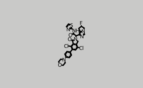 O=C(Nc1nccs1)C(c1ncn2c1C[C@@H](F)C2)N1Cc2c(Cl)cc(-c3ccc(N4CCOCC4)cc3)c(Cl)c2C1=O